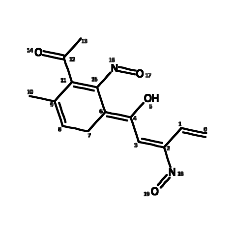 C=C/C(=C\C(O)=C1/CC=C(C)C(C(C)=O)=C1N=O)N=O